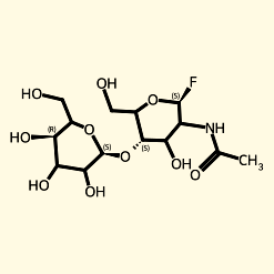 CC(=O)NC1C(O)[C@H](O[C@@H]2OC(CO)[C@H](O)C(O)C2O)C(CO)O[C@H]1F